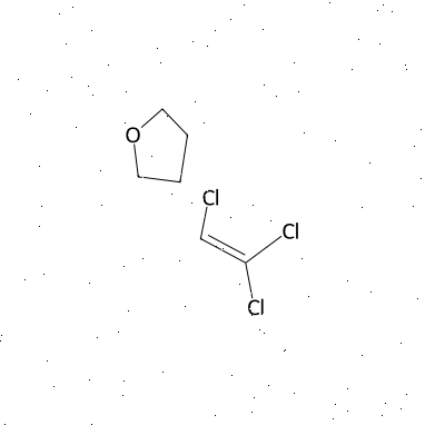 C1CCOC1.ClC=C(Cl)Cl